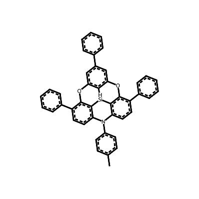 Cc1ccc(N2c3ccc(-c4ccccc4)c4c3[SiH]3c5c(cc(-c6ccccc6)cc5Oc5c(-c6ccccc6)ccc2c53)O4)cc1